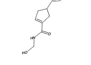 C=CC1CC=C(C(=O)NCO)C1